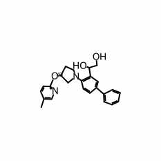 Cc1ccc(O[C@H]2CCN(c3ccc(-c4ccccc4)cc3C(O)CO)C2)nc1